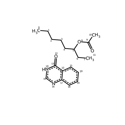 CCCCCC(CC)OC(C)=O.O=c1[nH]cnc2ccccc12